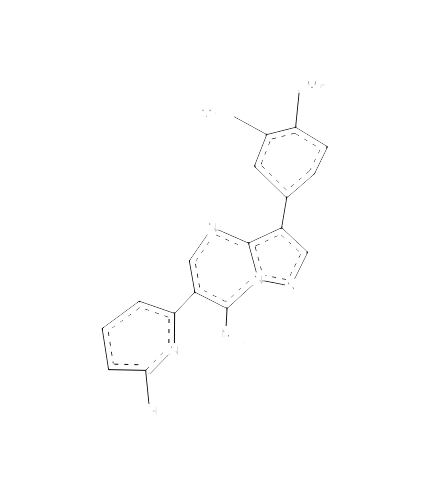 COc1ccc(-c2cnn3c(N)c(-c4cccc(O)n4)cnc23)cc1OC